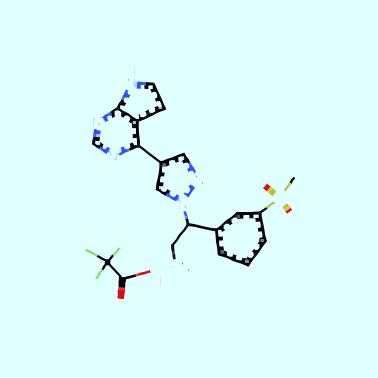 CS(=O)(=O)c1cccc(C(CC#N)n2cc(-c3ncnc4[nH]ccc34)cn2)c1.O=C(O)C(F)(F)F